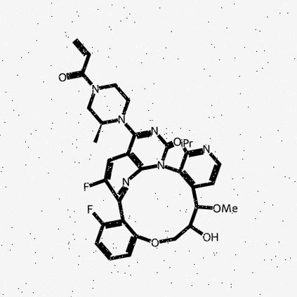 C=CC(=O)N1CCN(c2nc(=O)n3c4nc(c(F)cc24)-c2c(F)cccc2OCC(O)C(OC)c2ccnc(C(C)C)c2-3)[C@@H](C)C1